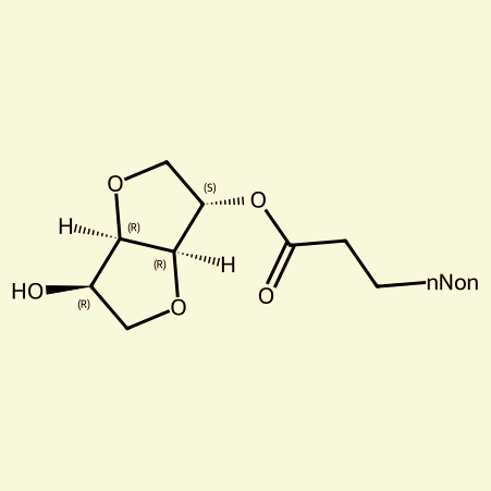 CCCCCCCCCCCC(=O)O[C@H]1CO[C@H]2[C@@H]1OC[C@H]2O